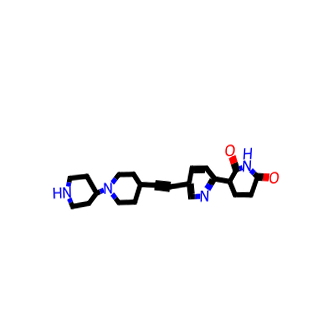 O=C1CCC(c2ccc(C#CC3CCN(C4CCNCC4)CC3)cn2)C(=O)N1